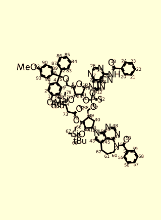 COc1ccc(C(OC[C@H]2O[C@@H](n3cnc4c(NC(=O)c5ccccc5)ncnc43)[C@H](OP(=S)(OCCC#N)OC[C@H]3C[C@@H](n4cc5c6c(ncnc64)N(C(=O)c4ccccc4)CCC5)[C@H](O[Si](C)(C)C(C)(C)C)[C@@H]3OC(=O)CCC(C)=O)[C@H]2O[Si](C)(C)C(C)(C)C)(c2ccccc2)c2ccc(OC)cc2)cc1